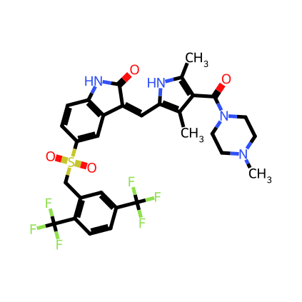 Cc1[nH]c(/C=C2\C(=O)Nc3ccc(S(=O)(=O)Cc4cc(C(F)(F)F)ccc4C(F)(F)F)cc32)c(C)c1C(=O)N1CCN(C)CC1